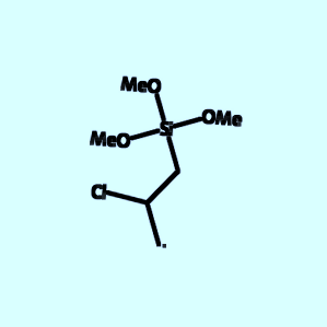 [CH2]C(Cl)C[Si](OC)(OC)OC